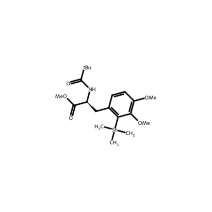 COC(=O)[C@H](Cc1ccc(OC)c(OC)[c]1[Sn]([CH3])([CH3])[CH3])NC(=O)C(C)(C)C